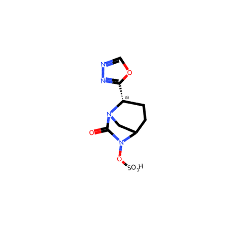 O=C1N(OS(=O)(=O)O)C2CC[C@@H](c3nnco3)N1C2